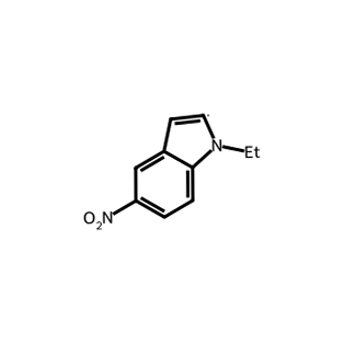 CCn1[c]cc2cc([N+](=O)[O-])ccc21